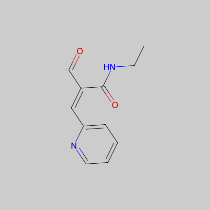 CCNC(=O)C([C]=O)=Cc1ccccn1